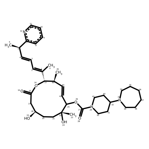 C/C(=C\C=C\[C@@H](C)c1ccccn1)[C@H]1OC(=O)C[C@H](O)CC[C@@](C)(O)C(OC(=O)N2CCC(N3CCCCCC3)CC2)/C=C/[C@@H]1C